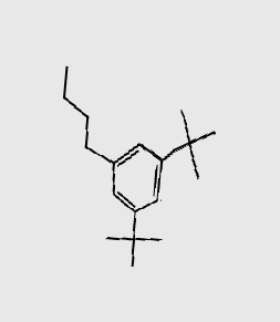 CCCCc1cc(C(C)(C)C)[c]c(C(C)(C)C)c1